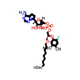 CCCCCCCCCCCCCCCCCCOC[C@H](COP(=O)(O)OC1[C@H]2O[C@@](C)(c3ccc4c(N)ncnn34)[C@H](O)[C@@]12O)Oc1cc(OC)c(C#N)cc1F